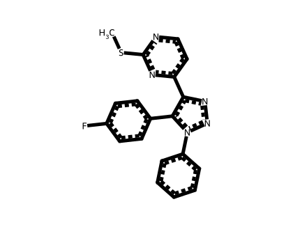 CSc1nccc(-c2nnn(-c3ccccc3)c2-c2ccc(F)cc2)n1